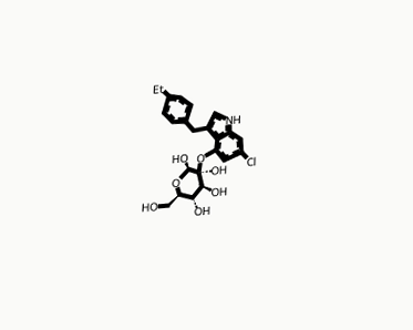 CCc1ccc(Cc2c[nH]c3cc(Cl)cc(O[C@]4(O)[C@H](O)O[C@H](CO)[C@@H](O)[C@@H]4O)c23)cc1